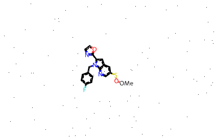 COOSc1cnc2c(c1)cc(-c1ncco1)n2Cc1ccc(F)cc1